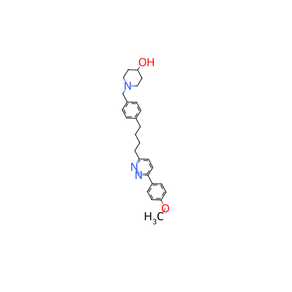 COc1ccc(-c2ccc(CCCCc3ccc(CN4CCC(O)CC4)cc3)nn2)cc1